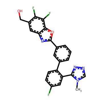 Cn1cnnc1-c1cc(F)ccc1-c1cccc(-c2nc3cc(CO)c(F)c(F)c3o2)c1